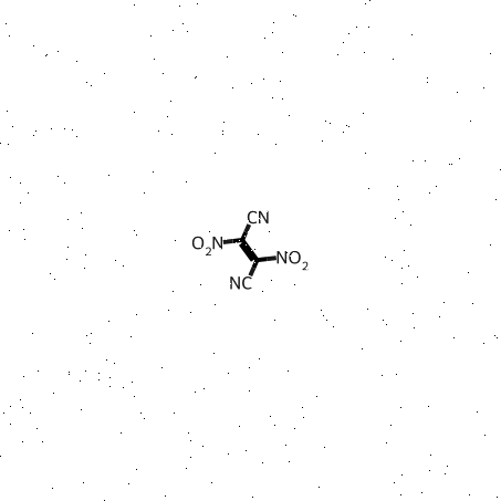 N#CC(=C(C#N)[N+](=O)[O-])[N+](=O)[O-]